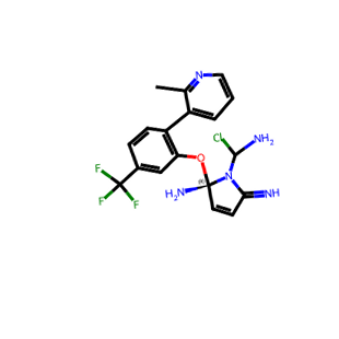 Cc1ncccc1-c1ccc(C(F)(F)F)cc1O[C@@]1(N)C=CC(=N)N1C(N)Cl